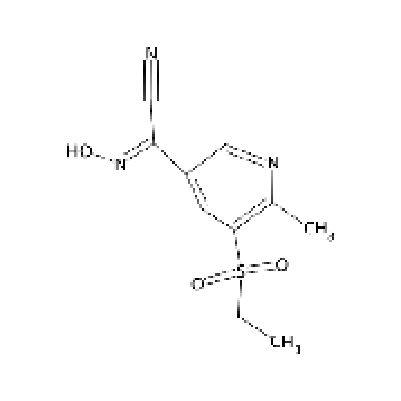 CCS(=O)(=O)c1cc(/C(C#N)=N/O)cnc1C